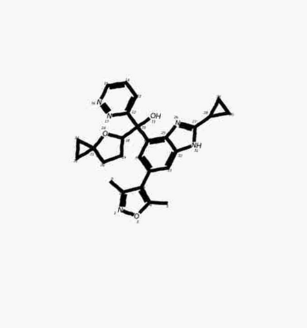 Cc1noc(C)c1-c1cc(C(O)(c2cccnn2)C2CCC3(CC3)O2)c2nc(C3CC3)[nH]c2c1